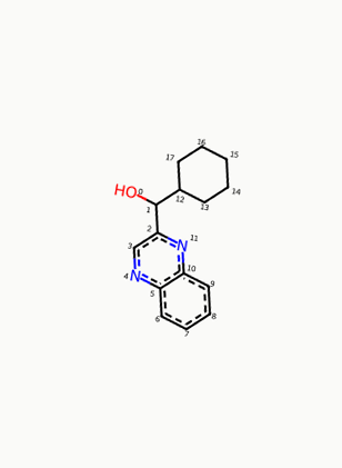 OC(c1cnc2ccccc2n1)C1CCCCC1